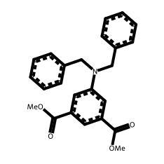 COC(=O)c1cc(C(=O)OC)cc(N(Cc2ccccc2)Cc2ccccc2)c1